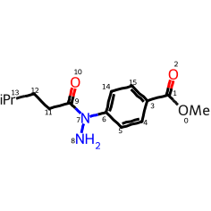 COC(=O)c1ccc(N(N)C(=O)CCC(C)C)cc1